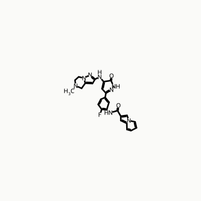 CN1CCn2nc(Nc3cc(-c4ccc(F)c(NC(=O)c5cc6ccccn6c5)c4)n[nH]c3=O)cc2C1